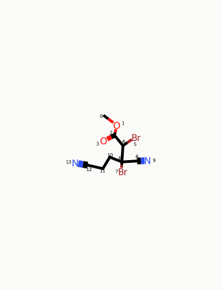 COC(=O)C(Br)C(Br)(C#N)CCC#N